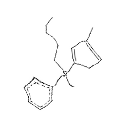 CCCC[Si](C)(C1=CC(C)=CC1)c1ccccc1